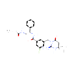 COC(=O)NC[C@H](NC(=O)c1cc(F)cc(CN2C(=N)N[C@](C)(C(C)C)CC2=O)c1)c1ccccc1